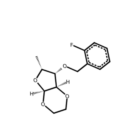 C[C@H]1O[C@@H]2OCCO[C@@H]2[C@H]1OCc1ccccc1F